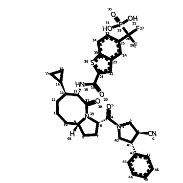 N#C[C@@H]1CN(C(=O)[C@@H]2CC[C@@H]3CCC[C@@H](C4CC4)[C@H](NC(=O)c4cc5cc(C(F)(F)P(=O)(O)O)ccc5s4)C(=O)N32)C[C@H]1c1ccccc1